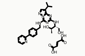 CC(C)c1cnn2c(NCc3ccc(-c4ccccn4)cc3)nc(N[C@H](CO)[C@@H](C)O)nc12.O=C(O)C=CC(=O)O